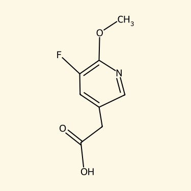 COc1ncc(CC(=O)O)cc1F